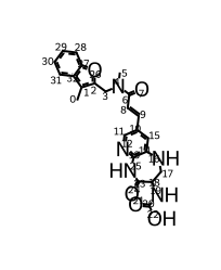 Cc1c(CN(C)C(=O)/C=C/c2cnc3c(c2)NCC(NC(=O)O)C(=O)N3)oc2ccccc12